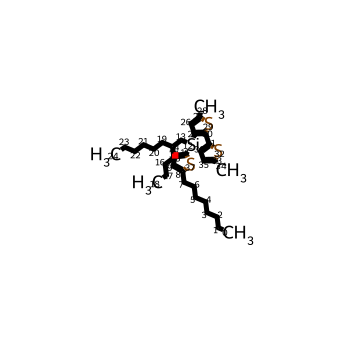 CCCCCCCCc1ccc([Si]2(CC(CCCC)CCCCCC)c3cc(C)sc3-c3sc(C)cc32)s1